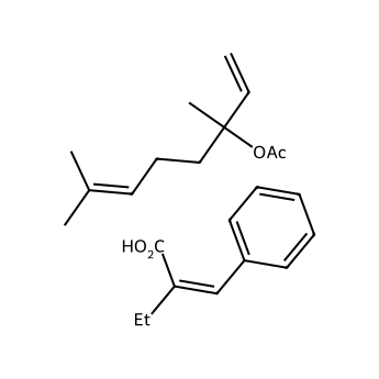 C=CC(C)(CCC=C(C)C)OC(C)=O.CCC(=Cc1ccccc1)C(=O)O